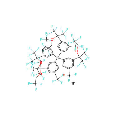 FC(F)(F)COC(c1cc([B-](c2cc(C(F)(F)F)cc(C(OCC(F)(F)F)(C(F)(F)F)C(F)(F)F)c2)(c2cc(C(F)(F)F)cc(C(OCC(F)(F)F)(C(F)(F)F)C(F)(F)F)c2)c2cc(C(F)(F)F)cc(C(OCC(F)(F)F)(C(F)(F)F)C(F)(F)F)c2)cc(C(F)(F)F)c1)(C(F)(F)F)C(F)(F)F.[Tl+]